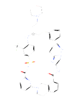 O=C(NS(=O)(=O)c1ccc(N[C@H](CCN2CCOCC2)CSc2ccccc2)c(C(F)(F)F)c1)c1cccc(N2CCc3cccc(C(=O)Nc4cn5ncccc5n4)c3C2)n1